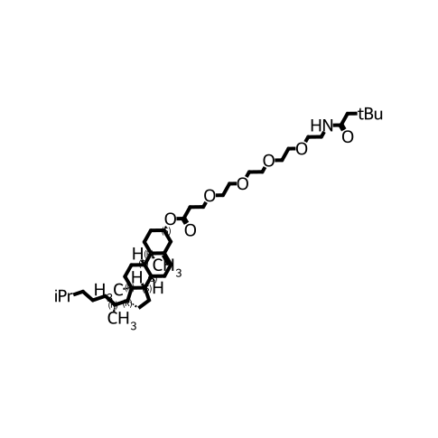 CC(C)CCC[C@@H](C)[C@H]1CC[C@H]2[C@@H]3CC=C4C[C@@H](OC(=O)CCOCCOCCOCCOCCNC(=O)CC(C)(C)C)CC[C@]4(C)[C@H]3CC[C@]12C